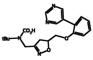 CC(C)(C)N(CC1=NOC(COc2ccccc2-c2cncnc2)C1)C(=O)O